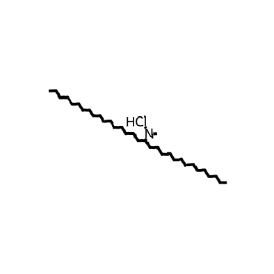 CCCCCCCCCCCCCCCCCC(CCCCCCCCCCCCCC)N(C)C.Cl